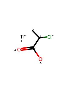 CC(Cl)C(=O)[O-].[Tl+]